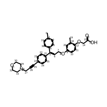 Cc1ccc(/C(=C\COc2ccc(OCC(=O)O)c(C)c2)c2ccc(C#CCN3CCOCC3)cc2)cc1